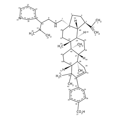 C=C(C)[C@@H]1CC[C@]2(CNCC(c3cccnc3)N(C)C)CC[C@]3(C)[C@H](CC[C@@H]4[C@@]5(C)CC=C(c6ccc(C(=O)O)cc6)C(C)(C)[C@@H]5CC[C@]43C)[C@@H]12